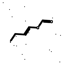 O=COC=CCI